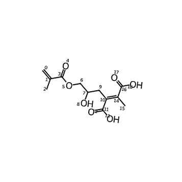 C=C(C)C(=O)OCC(O)CC(C(=O)O)=C(C)C(=O)O